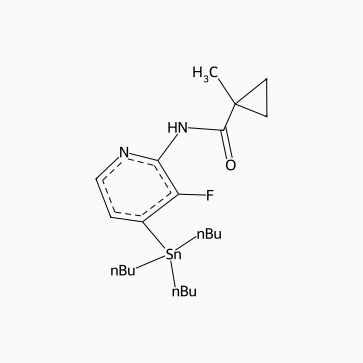 CCC[CH2][Sn]([CH2]CCC)([CH2]CCC)[c]1ccnc(NC(=O)C2(C)CC2)c1F